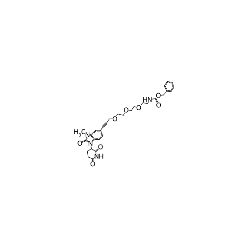 Cn1c(=O)n(C2CCC(=O)NC2=O)c2ccc(C#CCOCCOCCOCCNC(=O)OCc3ccccc3)cc21